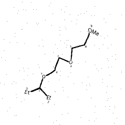 CCC(CC)OCCOCCOC